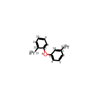 CC(C)c1cccc(Oc2ccccc2C(C)C)c1